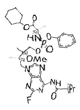 CO[C@](C)(COP(=O)(N[C@@H](C)C(=O)OC1CCCCC1)Oc1ccccc1)[C@@H](C)Cn1cnc2c(NC(=O)C(C)C)nc(F)nc21